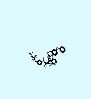 Cc1cc(Oc2ccccc2)ccc1N1C(=O)Nc2c(C(=O)N[C@H]3CC[C@H](NC(=O)CN(C)C)C3)sc3nccc1c23